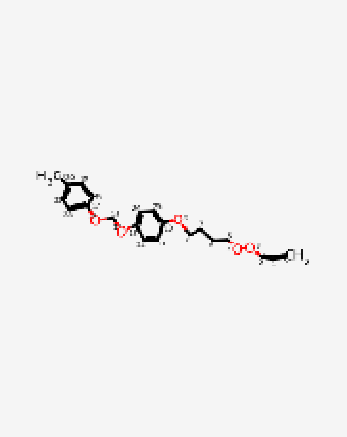 C=C=COOCCCCOc1ccc(OCOc2ccc(C)cc2)cc1